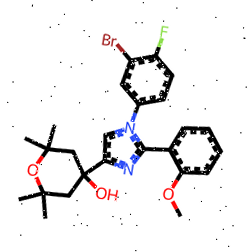 COc1ccccc1-c1nc(C2(O)CC(C)(C)OC(C)(C)C2)cn1-c1ccc(F)c(Br)c1